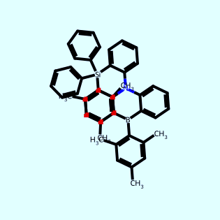 Cc1cc(C)c(B(c2ccccc2N2c3ccccc3[Si](c3ccccc3)(c3ccccc3)c3ccccc32)c2c(C)cc(C)cc2C)c(C)c1